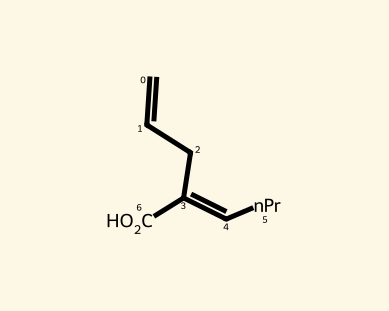 C=CCC(=CCCC)C(=O)O